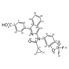 O=C(O)c1ccc(-c2nc(N(C(=O)C3CC3)c3ccc4c(c3)OC(F)(F)O4)cc3ccccc23)cc1